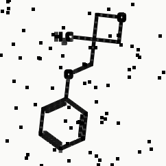 CC1(COc2cc[c]cc2)COC1